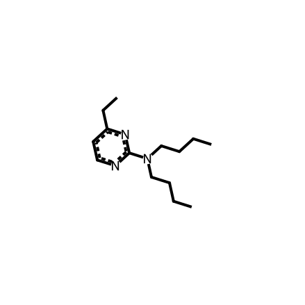 CCCCN(CCCC)c1nccc(CC)n1